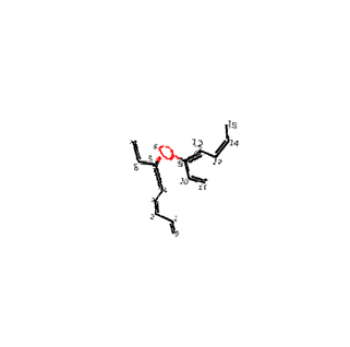 C=C/C=C\C=C(/C=C)O/C(C=C)=C/C=C\C